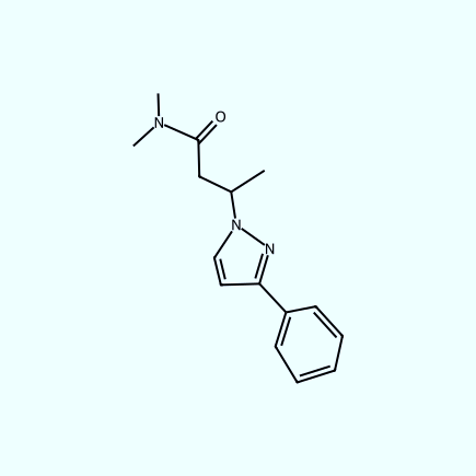 CC(CC(=O)N(C)C)n1ccc(-c2ccccc2)n1